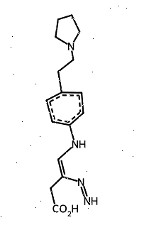 N=N/C(=C\Nc1ccc(CCN2CCCC2)cc1)CC(=O)O